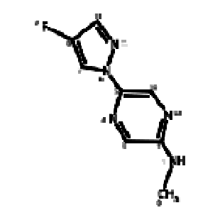 CNc1cnc(-n2cc(F)cn2)cn1